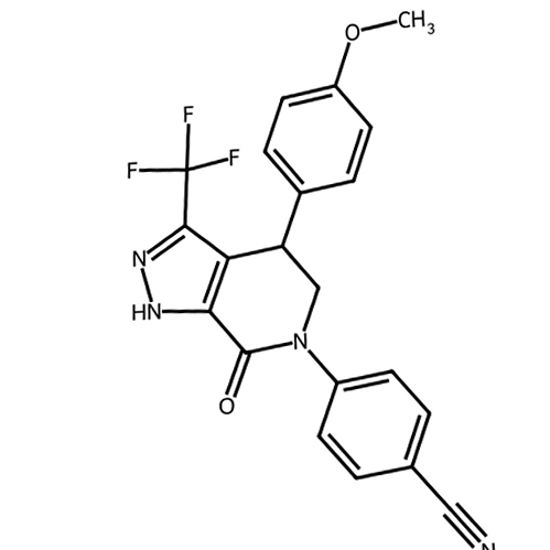 COc1ccc(C2CN(c3ccc(C#N)cc3)C(=O)c3[nH]nc(C(F)(F)F)c32)cc1